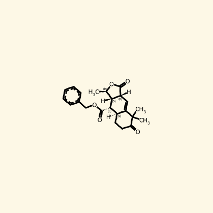 C[C@H]1OC(=O)[C@@H]2C=C3[C@@H](CCC(=O)C3(C)C)[C@H](C(=O)OCc3ccccc3)[C@H]12